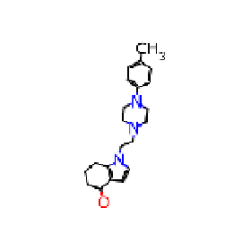 Cc1ccc(N2CCN(CCn3ccc4c3CCCC4=O)CC2)cc1